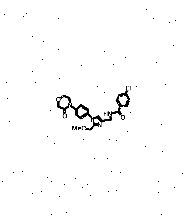 COCc1nc(CNC(=O)c2ccc(Cl)cc2)cn1-c1ccc(N2CCOCC2=O)cc1